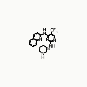 FC(F)(F)c1cnc(N[C@H]2CCCNC2)nc1Nc1ccc2ccccc2n1